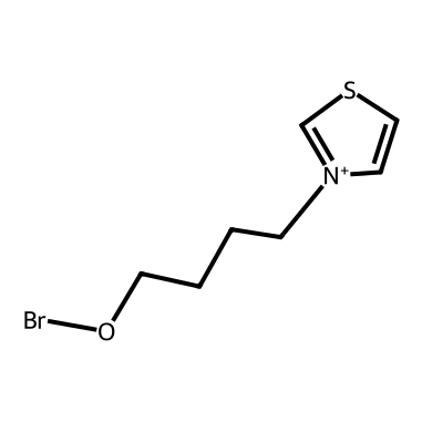 BrOCCCC[n+]1ccsc1